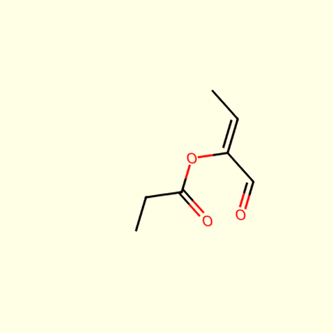 CC=C(C=O)OC(=O)CC